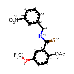 CC(=O)Oc1ccc(OC(F)(F)F)cc1C(=S)NCc1cccc([N+](=O)[O-])c1